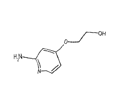 Nc1cc(OCCO)ccn1